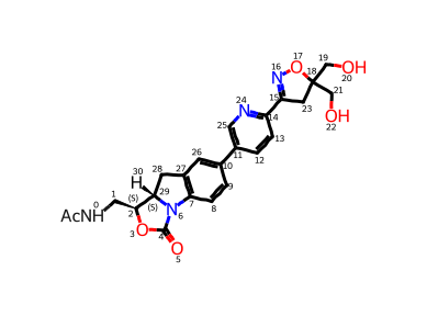 CC(=O)NC[C@@H]1OC(=O)N2c3ccc(-c4ccc(C5=NOC(CO)(CO)C5)nc4)cc3C[C@@H]12